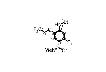 CCNc1cc(F)c([S+]([O-])NC)cc1OCC(F)(F)F